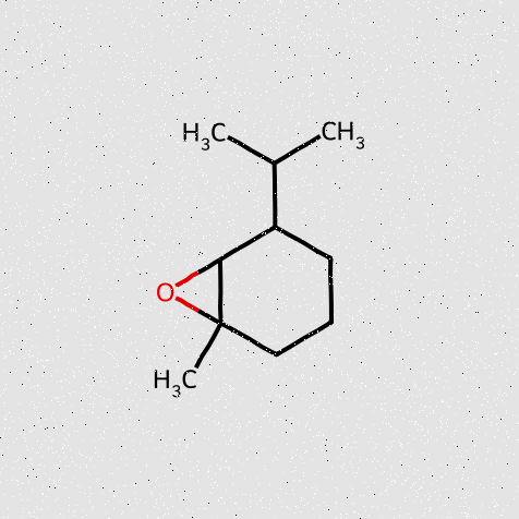 CC(C)C1CCCC2(C)OC12